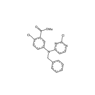 COC(=O)c1cc(N(Cc2ccccc2)c2ccnc(Cl)n2)ccc1Cl